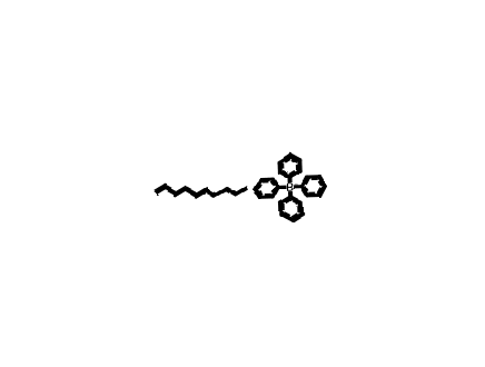 CCCCC=CCCCC.c1ccc([B-](c2ccccc2)(c2ccccc2)c2ccccc2)cc1